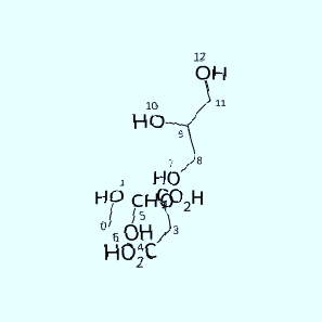 CO.O=C(O)CC(=O)O.O=CO.OCC(O)CO